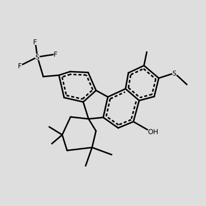 CSc1cc2c(O)cc3c(c2cc1C)-c1ccc(CS(F)(F)F)cc1C31CC(C)(C)CC(C)(C)C1